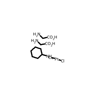 NC1CCCCC1.NCC(=O)O.NCC(=O)O.[Cl][Pt][Cl]